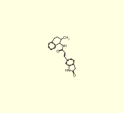 CC1CCc2ccccc2C1NC(=O)/C=C/c1ccc2c(c1)NC(=O)C2